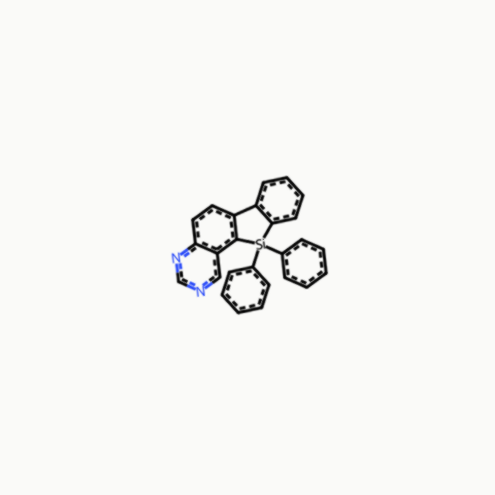 c1ccc([Si]2(c3ccccc3)c3ccccc3-c3ccc4ncncc4c32)cc1